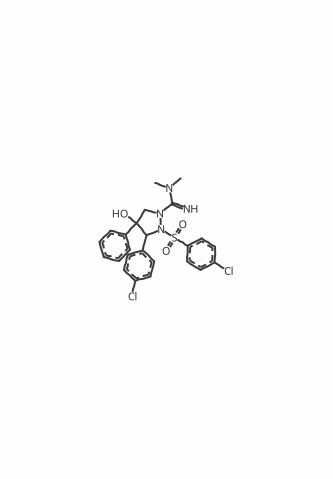 CN(C)C(=N)N1CC(O)(c2ccccc2)C(c2ccc(Cl)cc2)N1S(=O)(=O)c1ccc(Cl)cc1